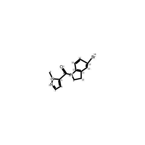 Cn1nccc1C(=O)N1CCc2cc(Br)ccc21